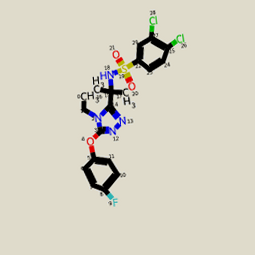 CCn1c(Oc2ccc(F)cc2)nnc1C(C)(C)NS(=O)(=O)c1ccc(Cl)c(Cl)c1